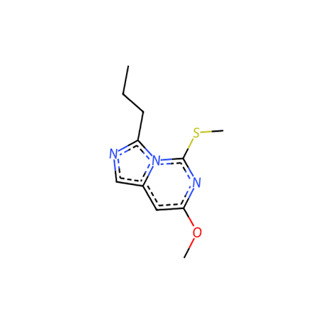 CCCc1ncc2cc(OC)nc(SC)n12